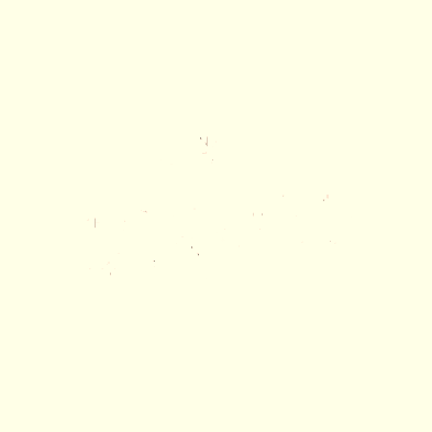 Cc1ccc(-c2cc(Cl)ccc2OCC2CCCC2)n1-c1ccc(F)c(C(=O)[O-])c1.[Na+]